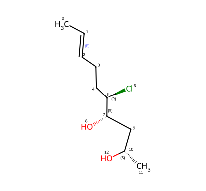 C/C=C/CC[C@@H](Cl)[C@@H](O)C[C@H](C)O